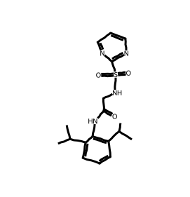 CC(C)c1cccc(C(C)C)c1NC(=O)CNS(=O)(=O)c1ncccn1